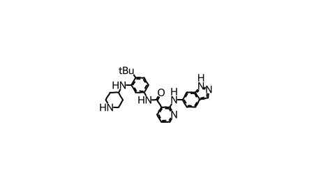 CC(C)(C)c1ccc(NC(=O)c2cccnc2Nc2ccc3cn[nH]c3c2)cc1NC1CCNCC1